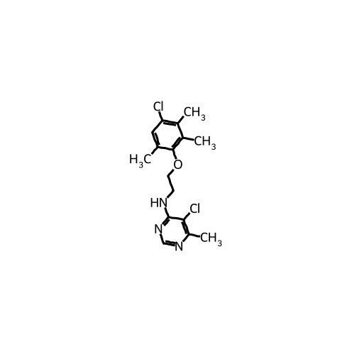 Cc1cc(Cl)c(C)c(C)c1OCCNc1ncnc(C)c1Cl